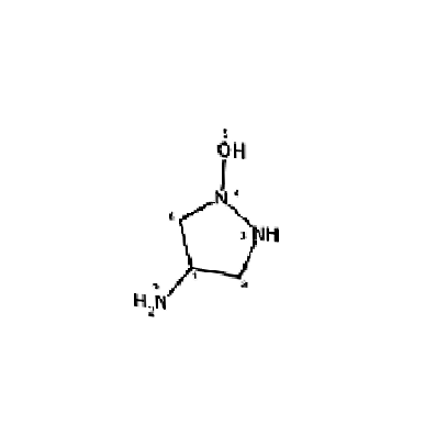 NC1CNN(O)C1